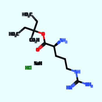 Cl.N=C(N)NCCC[C@H](N)C(=O)OC(CC(=O)O)(CC(=O)O)C(=O)O.[NaH]